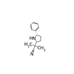 CC(C)(C#N)C1CC[C@@H](c2ccccc2)N1